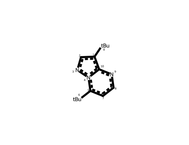 CC(C)(C)c1cnn2c(C(C)(C)C)ccnc12